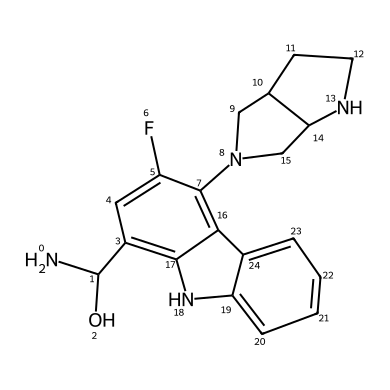 NC(O)c1cc(F)c(N2CC3CCNC3C2)c2c1[nH]c1ccccc12